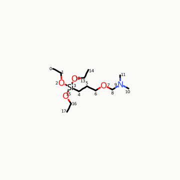 CCO[Si](CCCOCN(C)C)(OCC)OCC